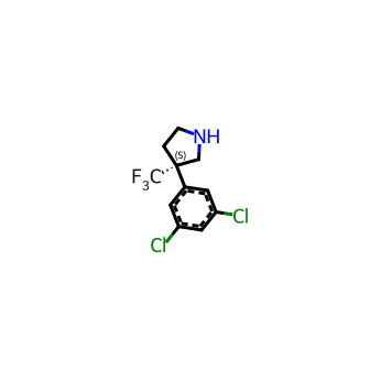 FC(F)(F)[C@]1(c2cc(Cl)cc(Cl)c2)CCNC1